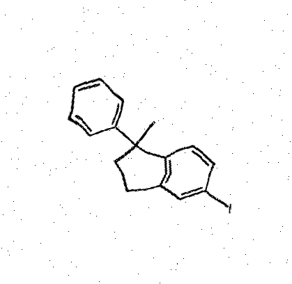 CC1(c2ccccc2)CCc2cc(I)ccc21